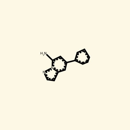 Nc1cc(-c2ccccc2)cc2ccnn12